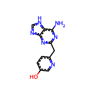 Nc1nc(Cc2ccc(O)cn2)nc2nc[nH]c12